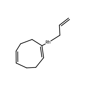 C=C[CH2][Rh][C]1=CCCC=CCC1